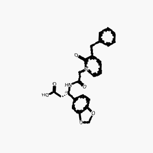 O=C(O)C[C@H](NC(=O)Cn1cccc(Cc2ccccc2)c1=O)c1ccc2c(c1)OCO2